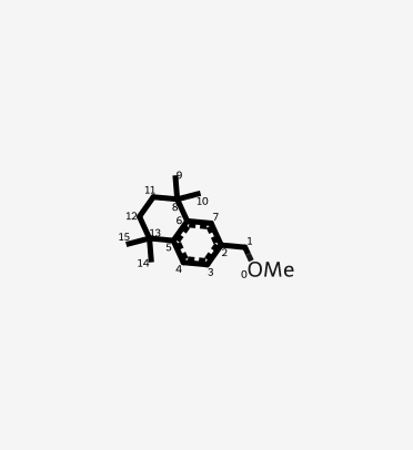 COCc1ccc2c(c1)C(C)(C)CCC2(C)C